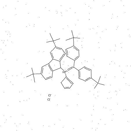 CC(C)(C)c1ccc([C](c2ccc(C(C)(C)C)cc2)=[Hf+2]([C]2=CC=CC2)[CH]2c3ccc(C(C)(C)C)cc3-c3cc(C(C)(C)C)ccc32)cc1.[Cl-].[Cl-]